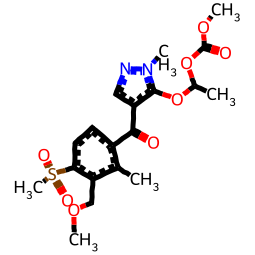 COCc1c(S(C)(=O)=O)ccc(C(=O)c2cnn(C)c2OC(C)OC(=O)OC)c1C